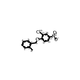 Cc1ccccc1COc1ccc([N+](=O)[O-])cc1Cl